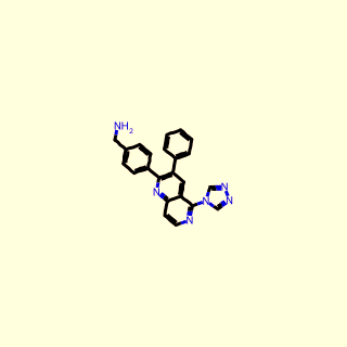 NCc1ccc(-c2nc3ccnc(-n4cnnc4)c3cc2-c2ccccc2)cc1